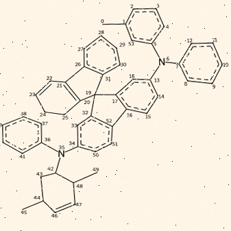 Cc1cccc(N(c2ccccc2)c2ccc3c(c2)C2(C4=C(C=CCC4)c4ccccc42)c2cc(N(c4ccccc4)C4CC(C)C=CC4C)ccc2-3)c1